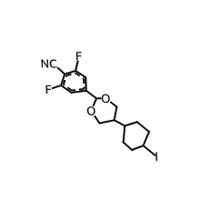 N#Cc1c(F)cc(C2OCC(C3CCC(I)CC3)CO2)cc1F